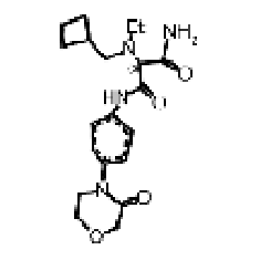 CCN(CC1CCC1)[C@@H](C(N)=O)C(=O)Nc1ccc(N2CCOCC2=O)cc1